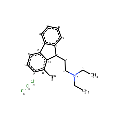 CCN(CC)CCC1c2ccccc2-c2ccc[c]([Ti+3])c21.[Cl-].[Cl-].[Cl-]